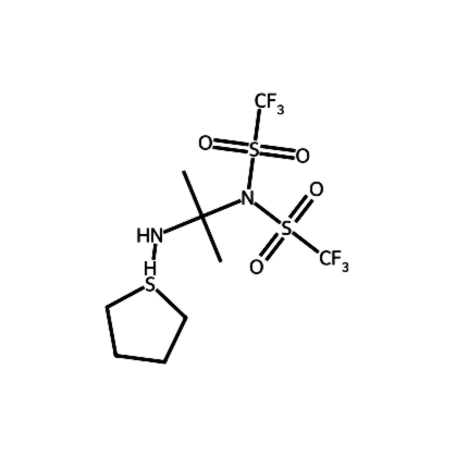 CC(C)(N[SH]1CCCC1)N(S(=O)(=O)C(F)(F)F)S(=O)(=O)C(F)(F)F